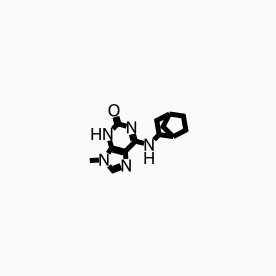 Cn1cnc2c(NC3CC4CCC3C4)nc(=O)[nH]c21